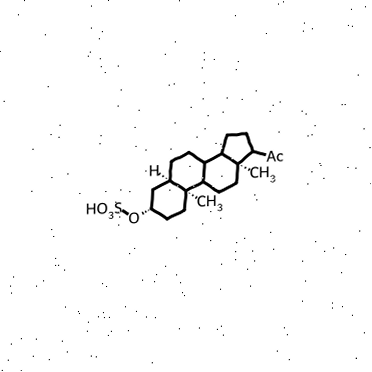 CC(=O)C1CCC2C3CC[C@@H]4C[C@@H](OS(=O)(=O)O)CC[C@]4(C)C3CC[C@]12C